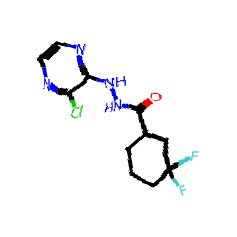 O=C(NNc1nccnc1Cl)C1CCCC(F)(F)C1